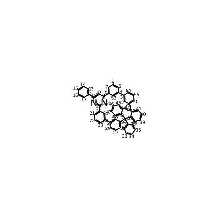 c1ccc(-c2cccc(-c3cc(-c4ccccc4)nc(-c4cccc(-c5cccc(C6(c7ccccc7)c7ccccc7Oc7ccccc76)c5)c4)n3)c2)cc1